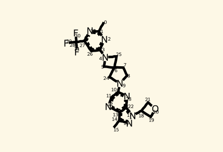 Cc1nc(N2CC3(CCN(c4cnc5c(C)nn(C6COC6)c5n4)C3)C2)cc(C(F)(F)F)n1